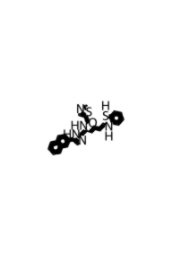 O=C(N[C@@H](CCCCNc1ccccc1S)c1ncc(-c2ccc3ccccc3c2)[nH]1)c1cncs1